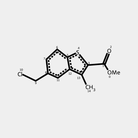 COC(=O)c1sc2ccc(CCl)cc2c1C